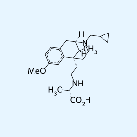 COc1ccc2c(c1)[C@]1(CCN[C@@H](C)C(=O)O)CCN(CC3CC3)[C@H](C2)[C@@H]1C